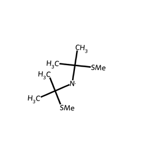 CSC(C)(C)[N]C(C)(C)SC